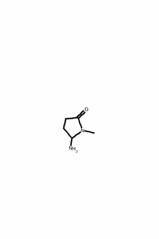 CN1C(=O)CCC1N